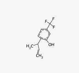 C=CC(C)c1ccc(C(F)(F)F)cc1O